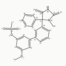 COc1cc(OS(C)(=O)=O)cc(-c2cccc(C3(c4ccncc4)C(=O)NC(=S)N3C)c2)c1